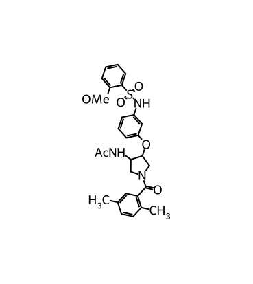 COc1ccccc1S(=O)(=O)Nc1cccc(OC2CN(C(=O)c3cc(C)ccc3C)CC2NC(C)=O)c1